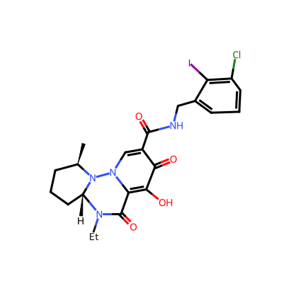 CCN1C(=O)c2c(O)c(=O)c(C(=O)NCc3cccc(Cl)c3I)cn2N2[C@H](C)CCC[C@@H]12